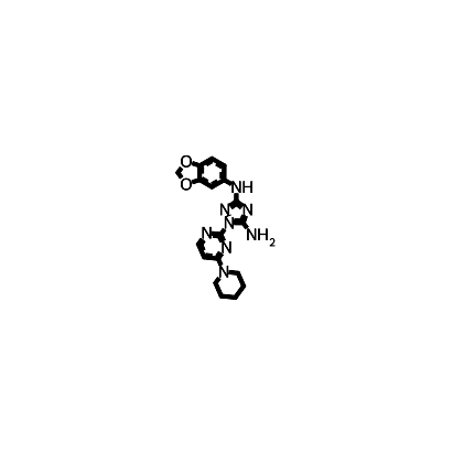 Nc1nc(Nc2ccc3c(c2)OCO3)nn1-c1nccc(N2CCCCC2)n1